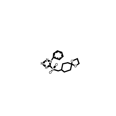 O=S(=O)(CC1CCC2(CC1)OCCO2)c1nnnn1-c1ccccc1